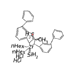 CCCCC[CH2][Zr](=[SiH2])([CH2]CCCCC)([CH]1C(C)=Cc2c(-c3ccccc3)cccc21)[CH]1C(C)=Cc2c(-c3ccccc3)cccc21.Cl.Cl